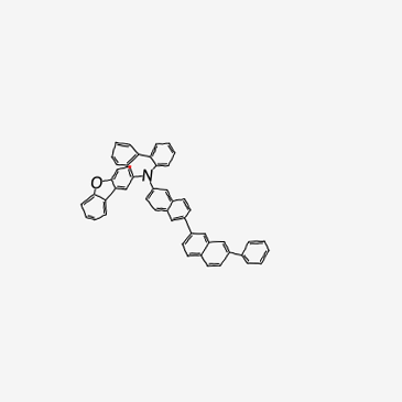 c1ccc(-c2ccc3ccc(-c4ccc5cc(N(c6ccc7oc8ccccc8c7c6)c6ccccc6-c6ccccc6)ccc5c4)cc3c2)cc1